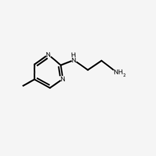 Cc1cnc(NCCN)nc1